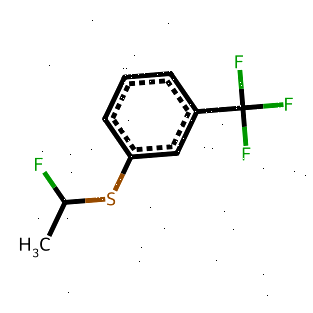 CC(F)Sc1cccc(C(F)(F)F)c1